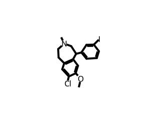 COc1cc2c(cc1Cl)CCN(C)CC2c1cccc(I)c1